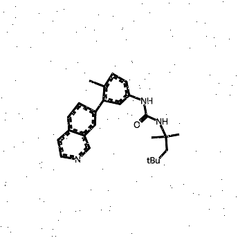 Cc1ccc(NC(=O)NC(C)(C)CC(C)(C)C)cc1-c1ccc2ccncc2c1